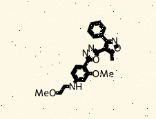 COCCNc1ccc(-c2nnc(-c3c(-c4ccccc4)noc3C)o2)c(OC)c1